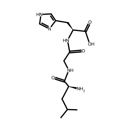 CC(C)C[C@H](N)C(=O)NCC(=O)N[C@@H](Cc1c[nH]cn1)C(=O)O